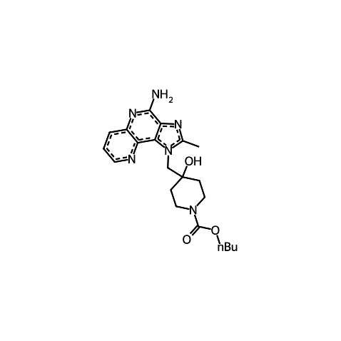 CCCCOC(=O)N1CCC(O)(Cn2c(C)nc3c(N)nc4cccnc4c32)CC1